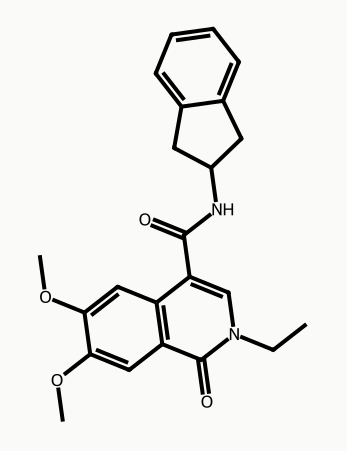 CCn1cc(C(=O)NC2Cc3ccccc3C2)c2cc(OC)c(OC)cc2c1=O